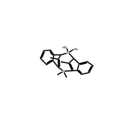 CCC[CH2][Zr]1([CH2]CCC)[CH]2C(C)=C(c3ccccc32)[Si](C)(C)C2=C(C)[CH]1c1ccccc12